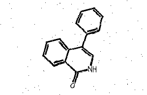 O=c1[nH]cc(-c2ccccc2)c2ccccc12